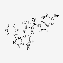 Cc1cc2c(cc1C(=O)N1CCc3cc(Br)cnc31)[nH]c(=O)c1cnc(C3CCCOC3)n12